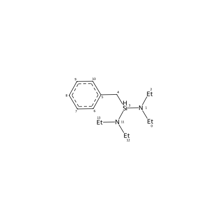 CCN(CC)[SiH](Cc1ccccc1)N(CC)CC